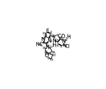 Cc1cc([C@@H](C)Nc2ccc(Cl)nc2C(=O)O)c2nc(N3CCC4(CCCO4)CC3)c(C#N)nc2c1